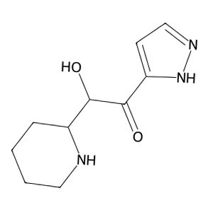 O=C(c1ccn[nH]1)C(O)C1CCCCN1